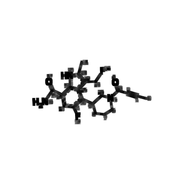 CC#CC(=O)N1CCCC(c2c(F)cc(C(N)=O)c3[nH]c(C)c(CF)c23)C1